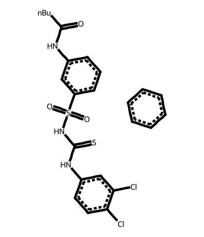 CCCCC(=O)Nc1cccc(S(=O)(=O)NC(=S)Nc2ccc(Cl)c(Cl)c2)c1.c1ccccc1